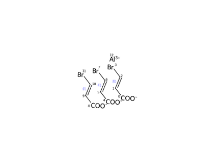 O=C([O-])/C=C/Br.O=C([O-])/C=C/Br.O=C([O-])/C=C/Br.[Al+3]